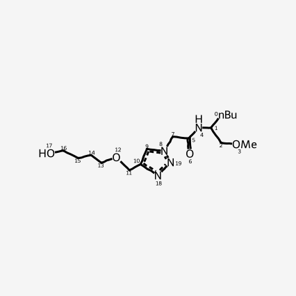 CCCCC(COC)NC(=O)Cn1cc(COCCCCO)nn1